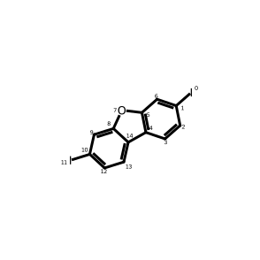 Ic1ccc2c(c1)oc1cc(I)ccc12